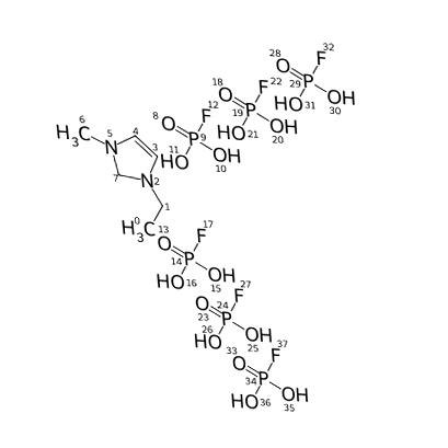 CCN1C=CN(C)C1.O=P(O)(O)F.O=P(O)(O)F.O=P(O)(O)F.O=P(O)(O)F.O=P(O)(O)F.O=P(O)(O)F